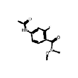 CON(C)C(=O)c1ccc(NC(C)=O)cc1F